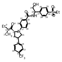 CCN(C)C(=O)[C@@H]1CC(c2ccc(C(F)(F)F)cc2)CN1c1ccc(C(=O)NC(CO)c2ccc(S(=O)(=O)CC)cc2)cc1